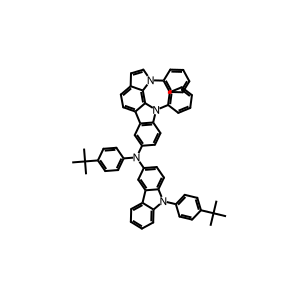 CC(C)(C)c1ccc(N(c2ccc3c(c2)c2ccccc2n3-c2ccc(C(C)(C)C)cc2)c2ccc3c(c2)c2ccc4ccn(-c5ccccc5)c4c2n3-c2ccccc2)cc1